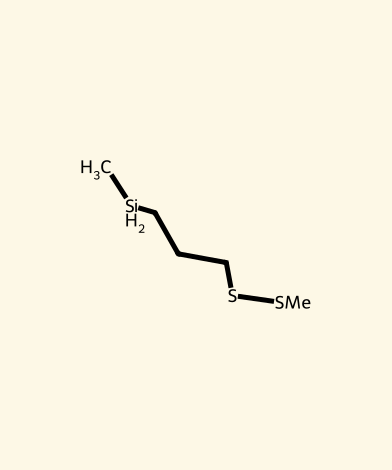 C[SiH2]CCCSSC